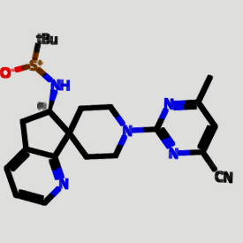 Cc1cc(C#N)nc(N2CCC3(CC2)c2ncccc2C[C@H]3N[S+]([O-])C(C)(C)C)n1